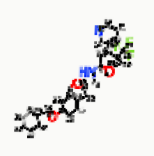 CO[C@H](CNC(=O)C[C@@H](c1cccnc1)C1(C(F)(F)F)CC1)Cc1ccc(OCc2ccccc2)cc1